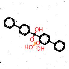 O=P(O)(O)OC(O)(c1ccc(-c2ccccc2)cc1)c1ccc(-c2ccccc2)cc1